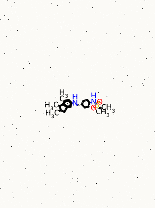 Cc1cc(NC[C@H]2CC[C@H](NS(=O)(=O)C(C)C)CC2)cc2c1C(C)C(C)C2